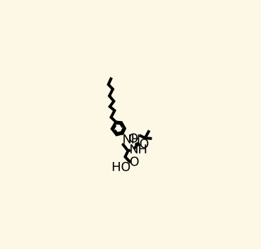 CCCCCCCCc1ccc(NCC(CC(=O)O)NC(=O)OC(C)(C)C)cc1